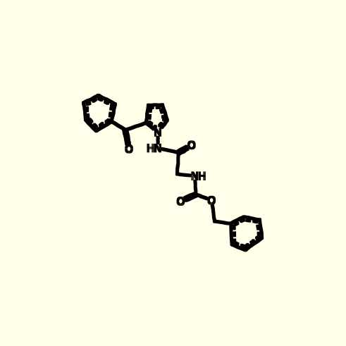 O=C(CNC(=O)OCc1ccccc1)Nn1cccc1C(=O)c1ccccc1